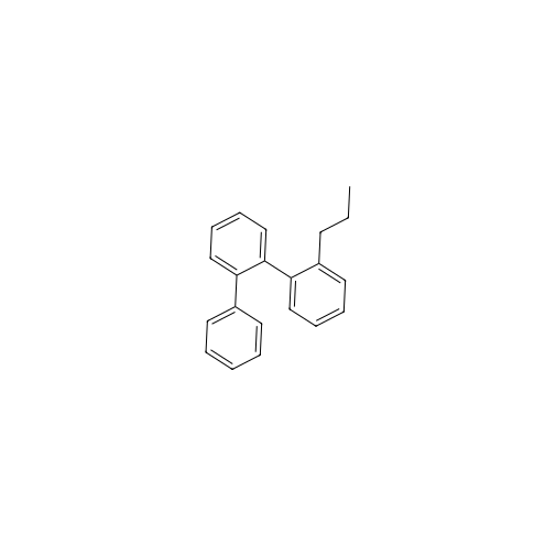 CCCc1ccccc1-c1ccccc1-c1ccccc1